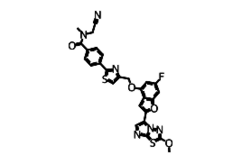 COc1nn2c(-c3cc4c(OCc5csc(-c6ccc(C(=O)N(C)CC#N)cc6)n5)cc(F)cc4o3)cnc2s1